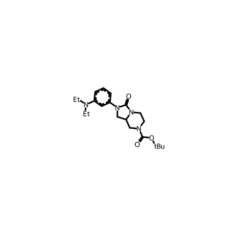 CCN(CC)c1cccc(N2CC3CN(C(=O)OC(C)(C)C)CCN3C2=O)c1